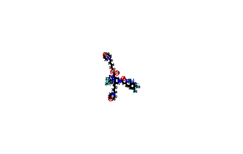 NC(CC(=O)N1Cc2c(C(=O)OCCCCCN3CCOCC3)nc(C(F)(F)F)n2C(CCCCN2CCOCC2)C1)Cc1cc(F)c(F)cc1F